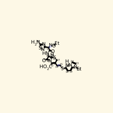 CCO/N=C(\C(=O)N[C@@H]1C(=O)N2C(C(=O)O)=C(/C=C/SC3=CC=C4N(CC)C=CN4N3)CS[C@@H]12)c1nsc(N)n1